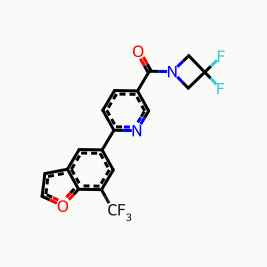 O=C(c1ccc(-c2cc(C(F)(F)F)c3occc3c2)nc1)N1CC(F)(F)C1